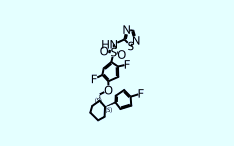 O=S(=O)(Nc1ncns1)c1cc(F)c(OC[C@H]2CCCC[C@@H]2c2ccc(F)cc2)cc1F